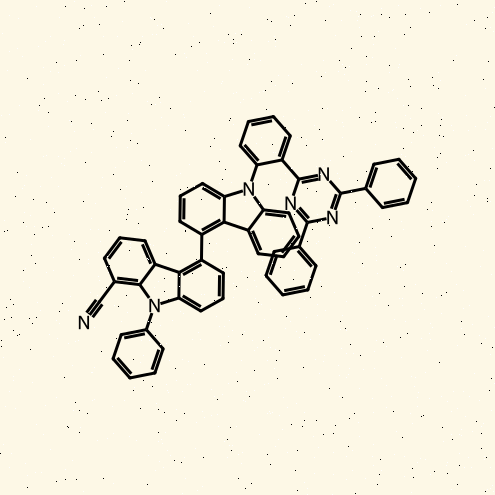 N#Cc1cccc2c3c(-c4cccc5c4c4ccccc4n5-c4ccccc4-c4nc(-c5ccccc5)nc(-c5ccccc5)n4)cccc3n(-c3ccccc3)c12